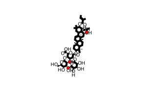 CC=C(C)C(=O)O[C@H]1[C@H](OC(C)=O)[C@@]2(CO)C(CC1(C)C)C1=CCC3[C@@]4(C)CC[C@H](O[C@@H]5O[C@H](C(=O)O)[C@@H](O[C@@H]6O[C@H](CO)[C@@H](O)[C@H](O)[C@H]6O)[C@H](O)[C@H]5O[C@@H]5O[C@H](CO)[C@@H](O)[C@H](O)[C@H]5O)[C@](C)(CO)C4CC[C@@]3(C)[C@]1(C)C[C@H]2O